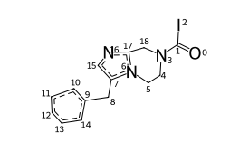 O=C(I)N1CCn2c(Cc3ccccc3)cnc2C1